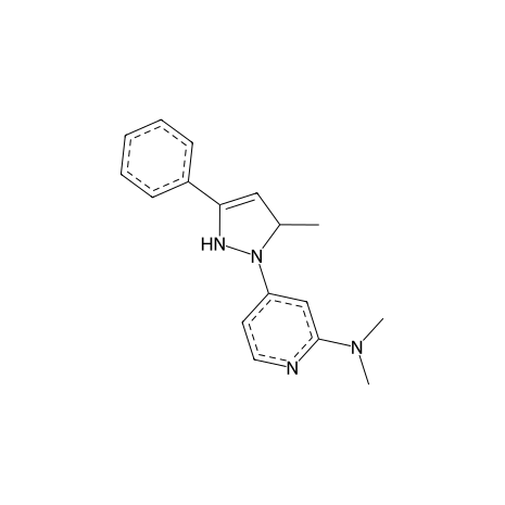 CC1C=C(c2ccccc2)NN1c1ccnc(N(C)C)c1